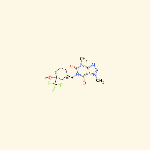 Cn1cnc2c1c(=O)n(C[C@@H]1CCCC(O)(C(F)(F)F)C1)c(=O)n2C